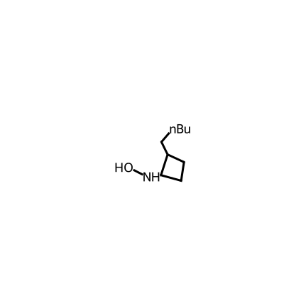 CCCCCC1CCC1NO